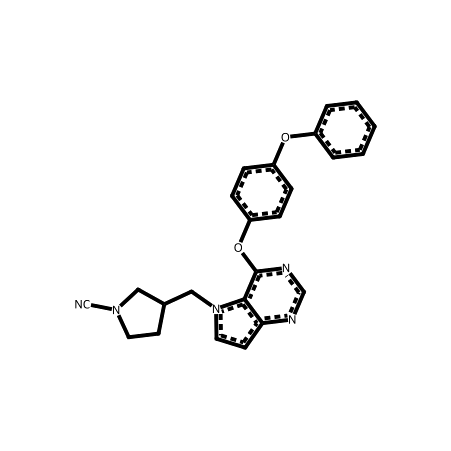 N#CN1CCC(Cn2ccc3ncnc(Oc4ccc(Oc5ccccc5)cc4)c32)C1